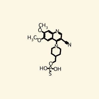 COc1cc2ncc(C#N)c(N3CCC(COP(O)(O)=S)CC3)c2cc1OC